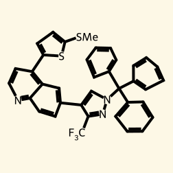 CSc1ccc(-c2ccnc3ccc(-c4cn(C(c5ccccc5)(c5ccccc5)c5ccccc5)nc4C(F)(F)F)cc23)s1